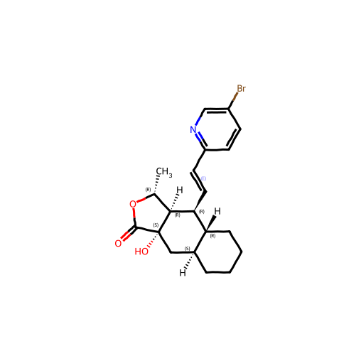 C[C@H]1OC(=O)[C@]2(O)C[C@@H]3CCCC[C@H]3[C@H](/C=C/c3ccc(Br)cn3)[C@H]12